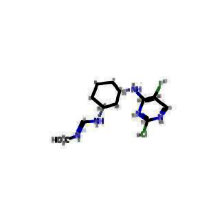 O=C(O)/N=C/N[C@@H]1CCC[C@H](Nc2nc(Cl)ncc2F)C1